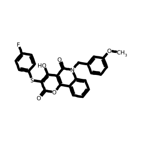 COc1cccc(Cn2c(=O)c3c(O)c(Sc4ccc(F)cc4)c(=O)oc3c3ccccc32)c1